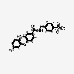 CCc1ccc2c(c1)Sc1ccc(C(=O)NCc3ccc(S(=O)(=O)CC)cc3)cc1N2